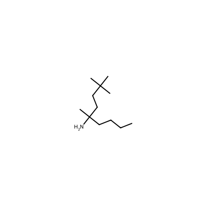 CCCCC(C)(N)CCC(C)(C)C